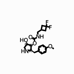 COc1ccc(C[C@H]2NC[C@H](O)[C@H]2OC(=O)NCC2CC(F)(F)C2)cc1